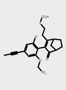 CC#Cc1cc(Cl)c(C2=C(CCSC(=O)O)C3CCC(C3)C2=O)c(OCC(F)(F)F)c1